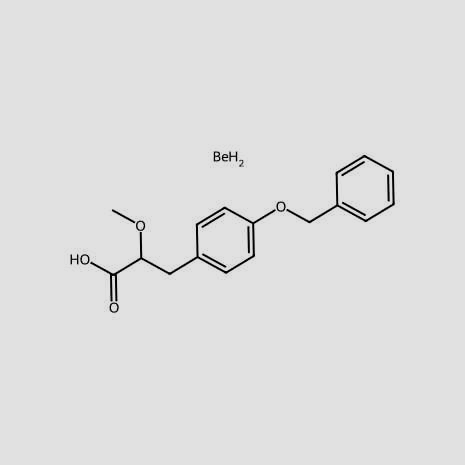 COC(Cc1ccc(OCc2ccccc2)cc1)C(=O)O.[BeH2]